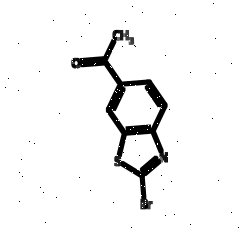 CC(=O)c1ccc2nc(Br)sc2c1